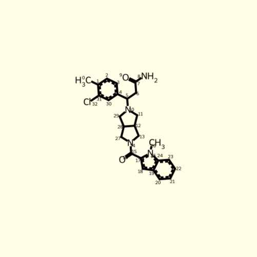 Cc1ccc(C(CC(N)=O)N2CC3CN(C(=O)c4cc5ccccc5n4C)CC3C2)cc1Cl